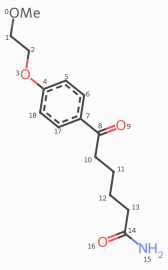 COCCOc1ccc(C(=O)CCCCC(N)=O)cc1